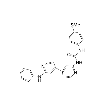 CSc1ccc(NC(=O)Nc2cc(-c3ccnc(Nc4ccccc4)c3)ccn2)cc1